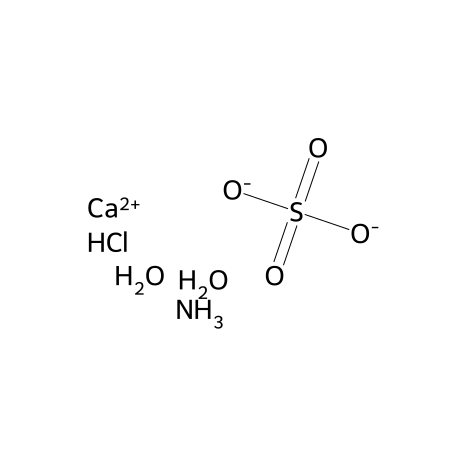 Cl.N.O.O.O=S(=O)([O-])[O-].[Ca+2]